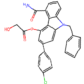 NC(=O)c1cccc2c1c1c(OC(=O)CO)cc(-c3ccc(Cl)cc3)cc1n2Cc1ccccc1